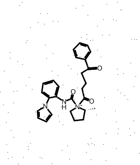 C[C@@H]1CCC[N+]1(C(=O)CCCC(=O)c1ccccc1)C(=O)Nc1ccccc1-n1cccc1